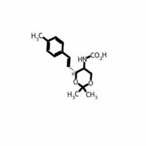 Cc1ccc(C=C[C@H]2OC(C)(C)OCC2NC(=O)O)cc1